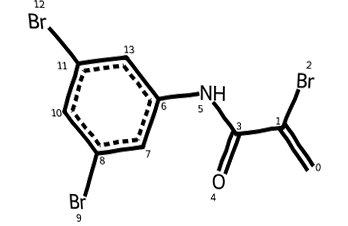 C=C(Br)C(=O)Nc1cc(Br)cc(Br)c1